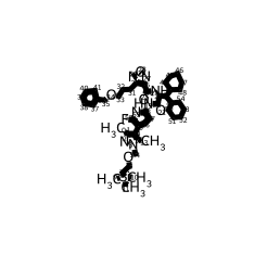 Cc1nn(COCC[Si](C)(C)C)c(C)c1-c1ccc(NC(=O)[C@@H](NC(=O)c2nonc2CCCOCc2ccccc2)C(C2CCCCC2)C2CCCCC2)nc1F